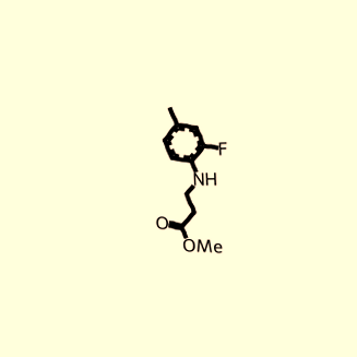 COC(=O)CCNc1ccc(C)cc1F